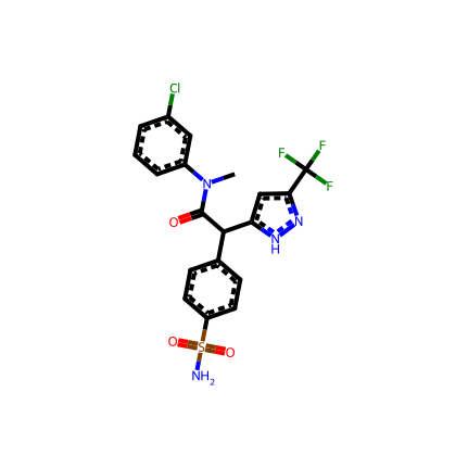 CN(C(=O)C(c1ccc(S(N)(=O)=O)cc1)c1cc(C(F)(F)F)n[nH]1)c1cccc(Cl)c1